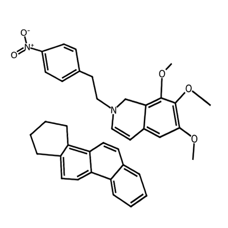 COc1cc2c(c(OC)c1OC)CN(CCc1ccc([N+](=O)[O-])cc1)C=C2.c1ccc2c(c1)ccc1c3c(ccc12)CCCC3